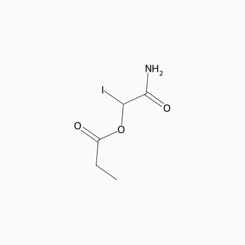 CCC(=O)OC(I)C(N)=O